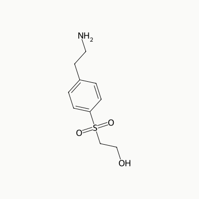 NCCc1ccc(S(=O)(=O)CCO)cc1